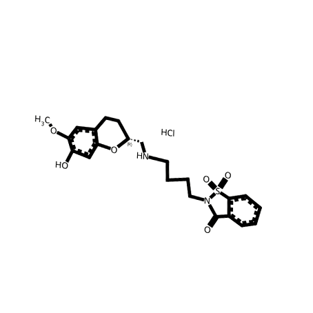 COc1cc2c(cc1O)O[C@@H](CNCCCCN1C(=O)c3ccccc3S1(=O)=O)CC2.Cl